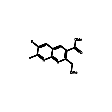 COCc1nc2nc(C)c(F)cc2cc1C(=O)OC